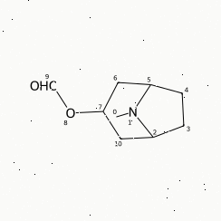 CN1C2CCC1CC(OC=O)C2